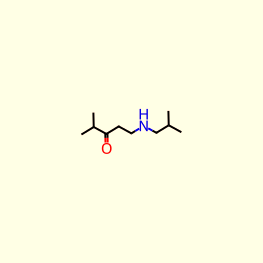 CC(C)CNCCC(=O)C(C)C